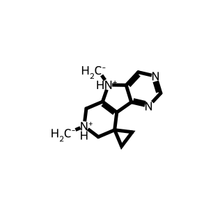 [CH2-][NH+]1CC2=C(c3ncncc3[NH+]2[CH2-])C2(CC2)C1